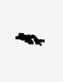 C[C@]12C=CC(=O)C=C1CC[C@@H]1[C@@H]2[C@@H](O)C[C@@]2(C)[C@H]1C[C@H]1O[C@@H](c3ccn(Cc4ccc(N)c(CO)c4)c3)O[C@]12C(=O)COP(=O)(O)O